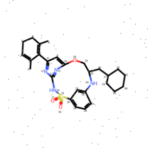 CC1=CCCC(C)=C1c1cc2nc(n1)NS(=O)(=O)c1cccc(c1)NC(CC1CCCCC1)CO2